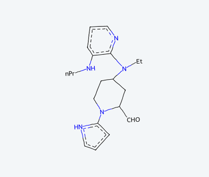 CCCNc1cccnc1N(CC)C1CCN(c2ccc[nH]2)C(C=O)C1